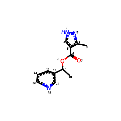 Cc1n[nH]cc1C(=O)OC(C)c1cccnc1